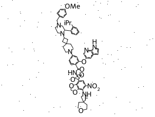 COc1ccc(CN2CCN(C3CC4(CCN(c5ccc(C(=O)NS(=O)(=O)c6cc([N+](=O)[O-])c(NCC7(F)CCOCC7)c7c6OCO7)c(Oc6cnc7[nH]ccc7c6)c5)CC4)C3)C(c3ccccc3C(C)C)C2)cc1